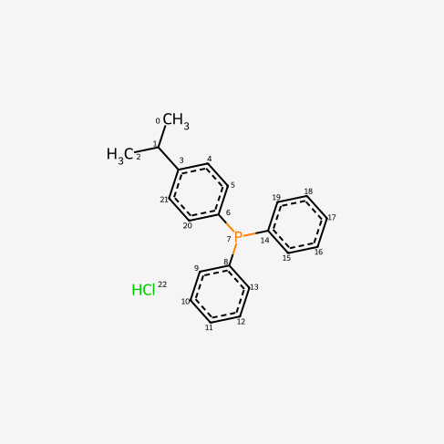 CC(C)c1ccc(P(c2ccccc2)c2ccccc2)cc1.Cl